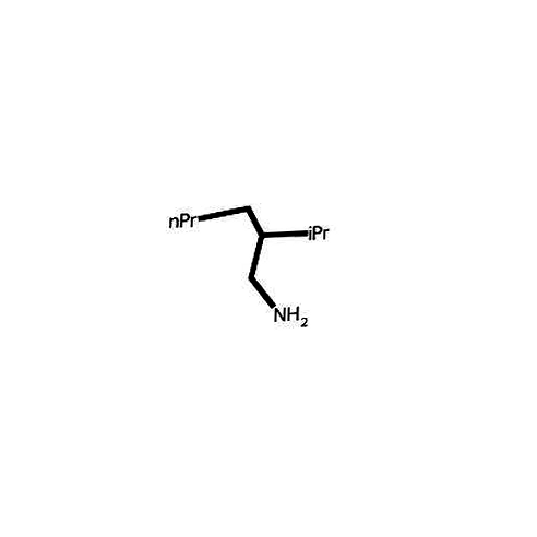 CCCCC(CN)C(C)C